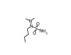 CCCCN(N(C)C)S(N)(=O)=O